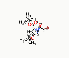 C[Si](C)(C)OC(=O)[C@H]1C[C@H](O[Si](C)(C)C)CN1C(=O)CBr